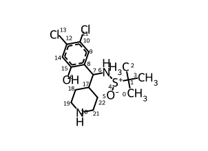 CC(C)(C)[S+]([O-])NC(c1cc(Cl)c(Cl)cc1O)C1CCNCC1